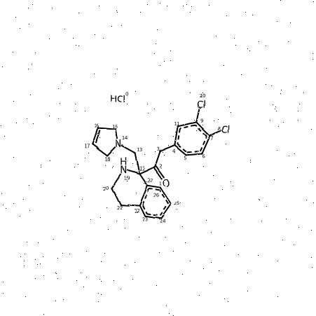 Cl.O=C(Cc1ccc(Cl)c(Cl)c1)C1(CN2CC=CC2)NCCc2ccccc21